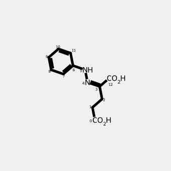 O=C(O)CC/C(=N/Nc1ccccc1)C(=O)O